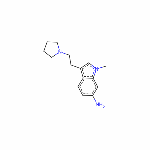 Cn1cc(CCN2CCCC2)c2ccc(N)cc21